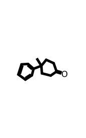 CC1(c2ccccc2)CCC(=O)CC1